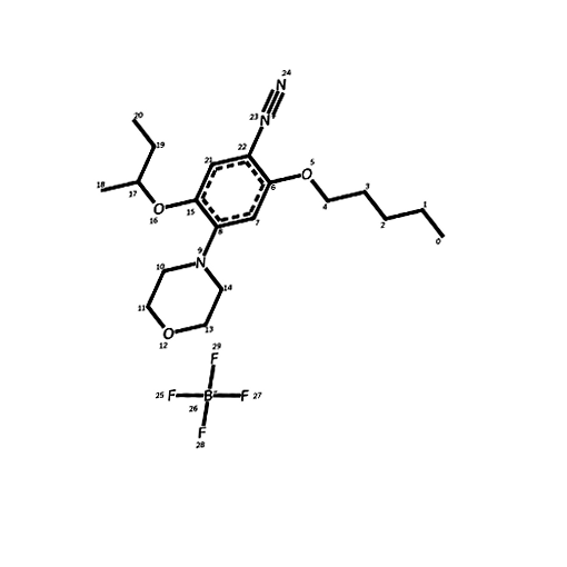 CCCCCOc1cc(N2CCOCC2)c(OC(C)CC)cc1[N+]#N.F[B-](F)(F)F